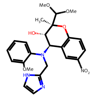 COc1ccccc1N(Cc1ncc[nH]1)[C@@H]1c2cc([N+](=O)[O-])ccc2O[C@](C)(C(OC)OC)[C@H]1O